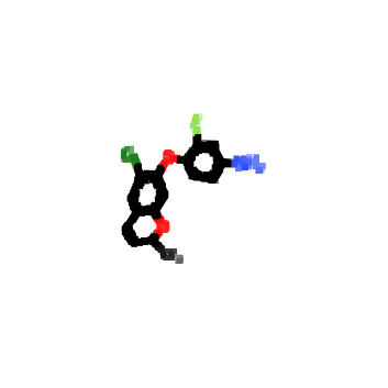 Nc1ccc(Oc2cc3c(cc2Cl)C=CC(C(F)(F)F)O3)c(F)c1